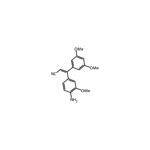 COc1cc(OC)cc(C(=CC#N)c2ccc(N)c(OC)c2)c1